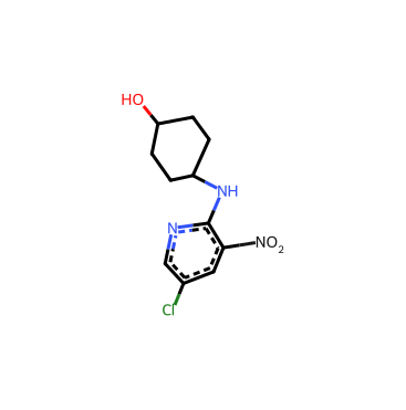 O=[N+]([O-])c1cc(Cl)cnc1NC1CCC(O)CC1